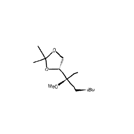 CC[C@H](C)C[C@](C)(OC)[C@H]1COC(C)(C)O1